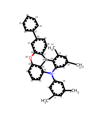 Cc1cc(C)cc(N2c3cc(C)cc(C)c3B3c4ccc(-c5ccccc5)cc4Oc4cccc2c43)c1